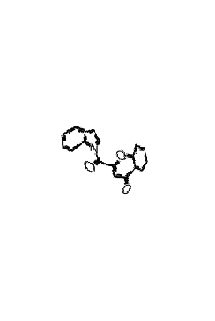 O=C(c1cc(=O)c2ccccc2o1)n1ccc2ccccc21